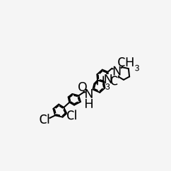 C[C@@H]1CCC[C@H](C)N1Cc1ccc2cc(NC(=O)c3ccc(-c4ccc(Cl)cc4Cl)cc3)ccc2n1